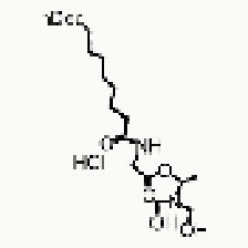 CCCCCCCCCCCCCCCCCC(=O)NCC(=O)OC(C)N(CO)CO.Cl